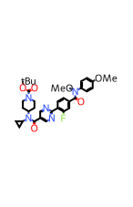 COc1ccc(N(OC)C(=O)c2ccc(-c3ncc(C(=O)N(C4CC4)C4CCN(C(=O)OC(C)(C)C)CC4)cn3)c(F)c2)cc1